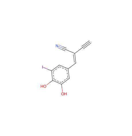 C#C/C(C#N)=C/c1cc(O)c(O)c(I)c1